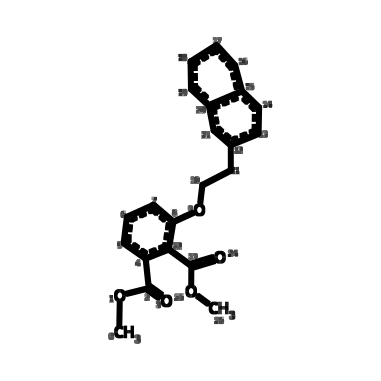 COC(=O)c1cccc(OCCc2ccc3ccccc3c2)c1C(=O)OC